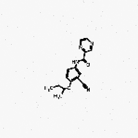 CCC(C)Oc1ccc(NC(=O)c2cnccn2)cc1C#N